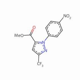 COC(=O)c1cc(C(F)(F)F)nn1-c1ccc([N+](=O)[O-])cc1